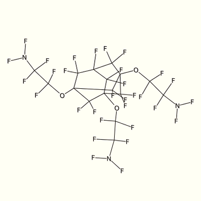 FN(F)C(F)(F)C(F)(F)OC12C(F)(F)C3(F)C(F)(F)C(OC(F)(F)C(F)(F)N(F)F)(C1(F)F)C(F)(F)C(OC(F)(F)C(F)(F)N(F)F)(C3(F)F)C2(F)F